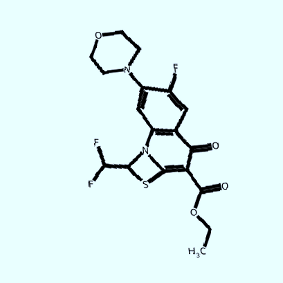 CCOC(=O)c1c2n(c3cc(N4CCOCC4)c(F)cc3c1=O)C(C(F)F)S2